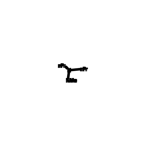 [CH2]NN(CCC)CCC